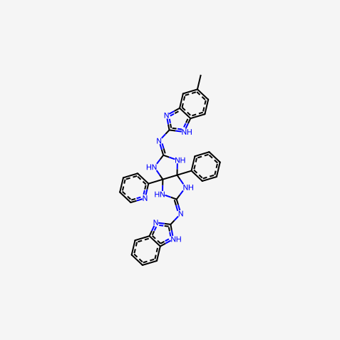 Cc1ccc2[nH]c(/N=C3\NC4(c5ccccc5)N/C(=N/c5nc6ccccc6[nH]5)NC4(c4ccccn4)N3)nc2c1